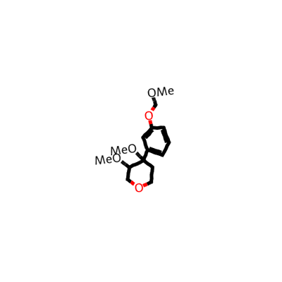 COCOc1cccc(C2(OC)CCOCC2OC)c1